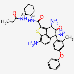 C=CC(=O)N[C@@H]1CCCC[C@@H]1NC(=O)c1sc2c(N)ccc3c2c1C(N)C(=O)C3(N)c1ccc(Oc2ccccc2)cc1C